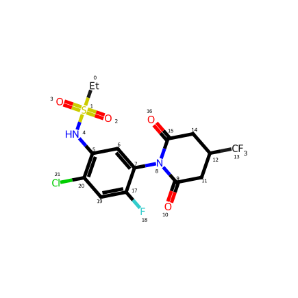 CCS(=O)(=O)Nc1cc(N2C(=O)CC(C(F)(F)F)CC2=O)c(F)cc1Cl